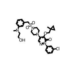 CN(CCO)c1cccc(CS(=O)(=O)N2CCN(c3cnn(-c4cccc(Cl)c4)c(=O)c3OCC3(C)CC3)CC2)c1